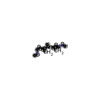 C=CC(=O)OC(COCCN(CCOCC(COC(=O)c1cccc(/C=C/C(=O)c2ccccc2)c1)OC(=O)C=C)c1ccccc1)COC(=O)c1cccc(/C=C/C(=O)c2ccccc2)c1